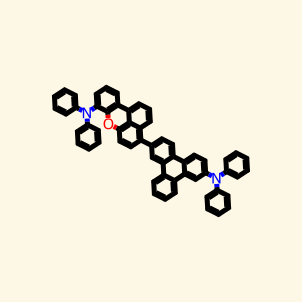 c1ccc(N(c2ccccc2)c2ccc3c4ccc(-c5ccc6c7c(cccc57)-c5cccc(N(c7ccccc7)c7ccccc7)c5O6)cc4c4ccccc4c3c2)cc1